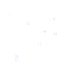 CC(=O)O.CC1(C)CCC(=O)N1C1CCNCC1